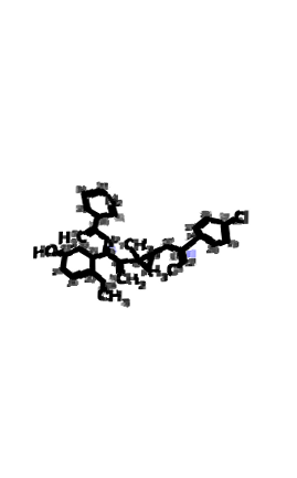 C=C(/N=C(/C(=C)C1(C)CC1C/C(=C\C)c1ccc(Cl)cc1)C1CC(O)CC=C1CC)C1C=NC=CC1